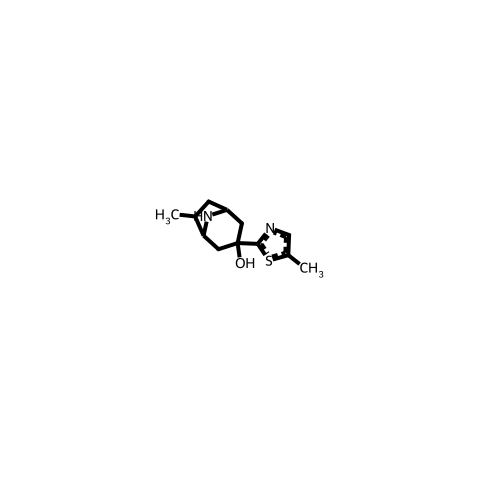 Cc1cnc(C2(O)CC3CC(C)C(C2)N3)s1